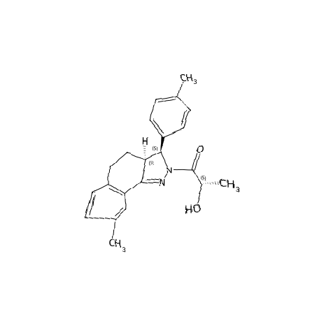 Cc1ccc([C@@H]2[C@@H]3CCc4ccc(C)cc4C3=NN2C(=O)[C@H](C)O)cc1